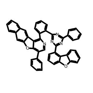 c1ccc(-c2nc(-c3ccccc3-c3ncc(-c4ccccc4)c4oc5cc6ccccc6cc5c34)nc(-c3cccc4oc5ccccc5c34)n2)cc1